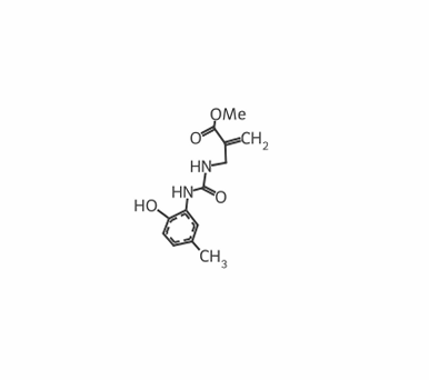 C=C(CNC(=O)Nc1cc(C)ccc1O)C(=O)OC